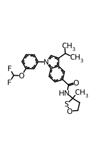 CC(C)c1cn(-c2cccc(OC(F)F)c2)c2ccc(C(=O)NC3(C)CCOS3)cc12